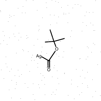 CC(C)(C)O[C](=O)[Ag]